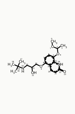 COC(C)Oc1ccc(OCC(O)CNC(C)(C)C)c2ccc(=O)[nH]c12